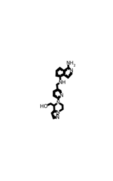 Nc1nccc2c(NCc3ccc(N4CCn5nccc5C4CO)nc3)cccc12